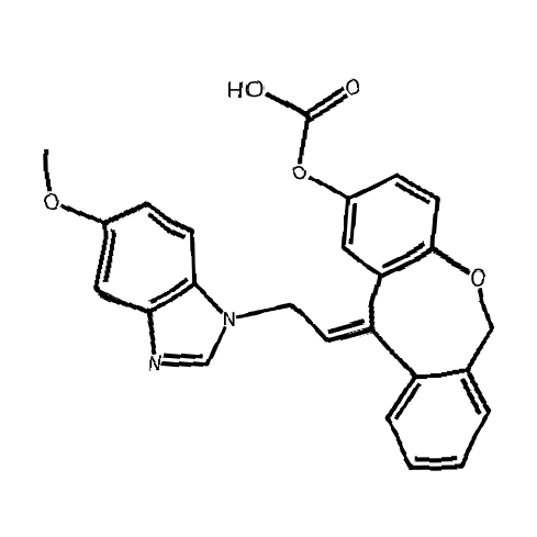 COc1ccc2c(c1)ncn2CC=C1c2ccccc2COc2ccc(OC(=O)O)cc21